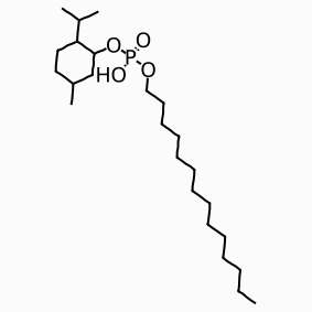 CCCCCCCCCCCCCCOP(=O)(O)OC1CC(C)CCC1C(C)C